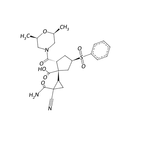 C[C@@H]1CN(C(=O)[C@@H]2C[C@@H](S(=O)(=O)c3ccccc3)C[C@@]2(C(=O)O)C2CC2(C#N)C(N)=O)C[C@H](C)O1